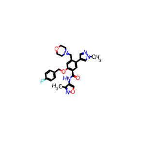 Cc1nocc1NC(=O)c1cc(-c2cnn(C)c2)c(CN2CCOCC2)cc1OCc1ccc(F)cc1